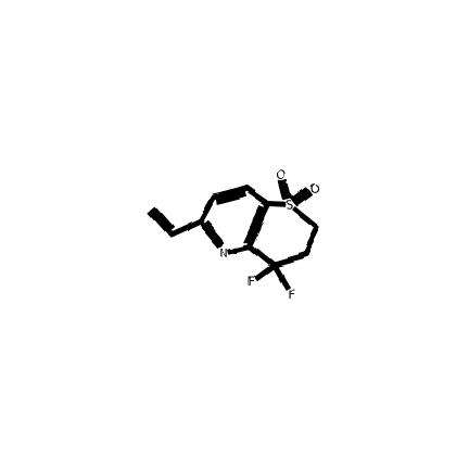 C=Cc1ccc2c(n1)C(F)(F)CCS2(=O)=O